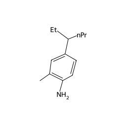 CCCC(CC)c1ccc(N)c(C)c1